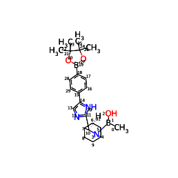 CB(O)N1C2CCC(CC2)[C@H]1c1ncc(-c2ccc(B3OC(C)(C)C(C)(C)O3)cc2)[nH]1